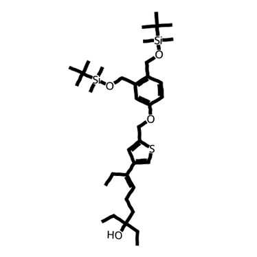 CCC(=CCCC(O)(CC)CC)c1csc(COc2ccc(CO[Si](C)(C)C(C)(C)C)c(CO[Si](C)(C)C(C)(C)C)c2)c1